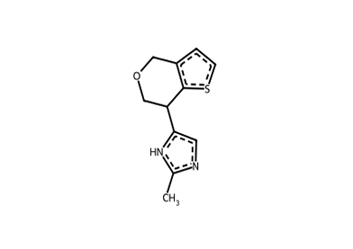 Cc1ncc(C2COCc3ccsc32)[nH]1